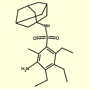 CCc1c(N)c(C)c(S(=O)(=O)NC23CC4CC(CC(C4)C2)C3)c(CC)c1CC